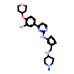 CN1CCC(NCc2cccc(Nc3nccc(-c4ccc(OC5CCOCC5)c(C#N)c4)n3)c2)CC1